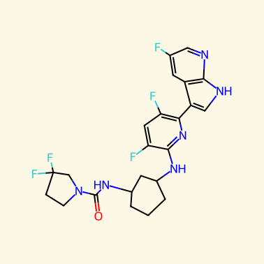 O=C(NC1CCCC(Nc2nc(-c3c[nH]c4ncc(F)cc34)c(F)cc2F)C1)N1CCC(F)(F)C1